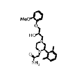 COc1ccccc1OCC(O)CN1CCN(CC(N)=O)C(c2c(C)cccc2C)C1